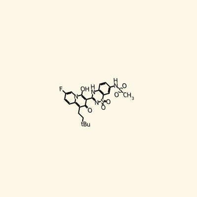 CC(C)(C)CCc1c(=O)c(C2=NS(=O)(=O)c3cc(NS(C)(=O)=O)ccc3N2)c(O)n2cc(F)ccc12